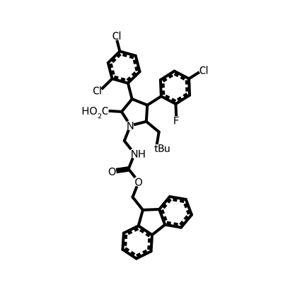 CC(C)(C)CC1C(c2ccc(Cl)cc2F)C(c2ccc(Cl)cc2Cl)C(C(=O)O)N1CNC(=O)OCC1c2ccccc2-c2ccccc21